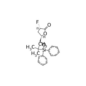 CC(C)(C)[Si](OC[C@H]1C[C@H](F)C(=O)O1)(c1ccccc1)c1ccccc1